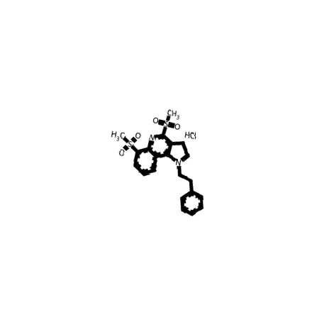 CS(=O)(=O)c1nc2c(S(C)(=O)=O)cccc2c2c1CCN2CCc1ccccc1.Cl